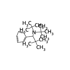 CC(C)(C)C(c1ccccc1)N(C(C)(C)C)C(C)(C)C